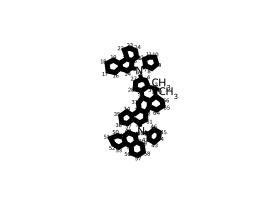 CC1(C)c2cc(N(c3ccccc3)c3cc4ccccc4c4ccccc34)ccc2-c2cc3c4ccccc4c(N(c4ccccc4)c4cc5ccccc5c5ccccc45)cc3c3cccc1c23